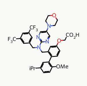 COc1ccc(C(C)C)cc1-c1ccc(OCC(=O)O)cc1CN(Cc1cc(C(F)(F)F)cc(C(F)(F)F)c1)c1ncc(N2CCOCC2)cn1